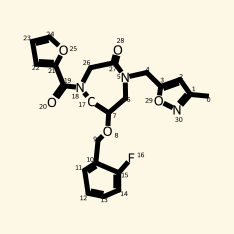 Cc1cc(CN2CC(OCc3ccccc3F)CN(C(=O)c3ccco3)CC2=O)on1